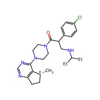 CCC(CC)NCC(C(=O)N1CCN(c2ncnc3c2[C@H](C)CC3)CC1)c1ccc(Cl)cc1